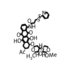 CO[C@H]1OCCN2[C@@H]1O[C@@H]1[C@H](C)O[C@@H](O[C@H]3C[C@H](C(C)=O)Cc4c(O)c5c(c(O)c43)C(=O)c3c(NC(=O)CCSSc4ccccn4)cccc3C5=O)C[C@@H]12